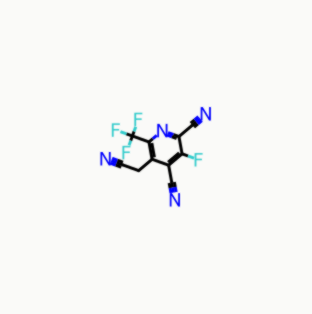 N#CCc1c(C(F)(F)F)nc(C#N)c(F)c1C#N